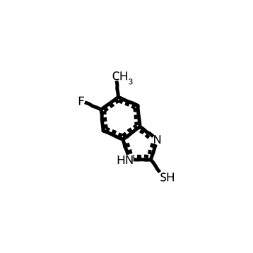 Cc1cc2nc(S)[nH]c2cc1F